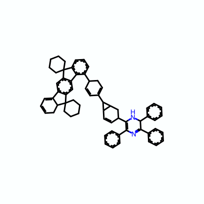 C1=CCC2C(=C1)c1cc3c(cc1C21CCCCC1)-c1c(C2C=CC(C4C5C=CC(C6=C(c7ccccc7)N=C(c7ccccc7)C(c7ccccc7)N6)CC54)=CC2)cccc1C31CCCCC1